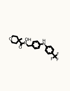 CC1(C(=O)N(O)Cc2ccc(Nc3ccc(C(F)(F)F)cc3)cc2)CCOCC1